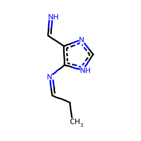 CC/C=N\c1[nH]cnc1C=N